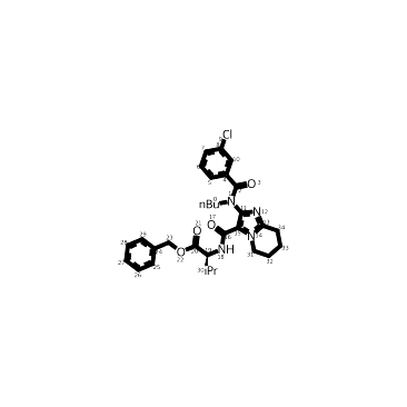 CCCCN(C(=O)c1cccc(Cl)c1)c1nc2n(c1C(=O)N[C@H](C(=O)OCc1ccccc1)C(C)C)CCCC2